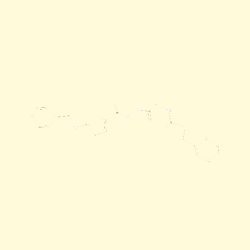 CC(C)C[C@H](NC(=O)OCc1ccccc1)C(=O)NNC(=O)c1ccc(NCc2ccccc2)s1